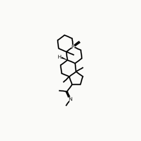 C=P12CCCCC1(C)[C@H]1CCC3(C)C(/C(C)=N/C)CCC3(C)C1CC2